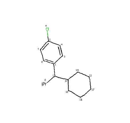 CC(C)[C](c1ccc(Cl)cc1)C1CCCCC1